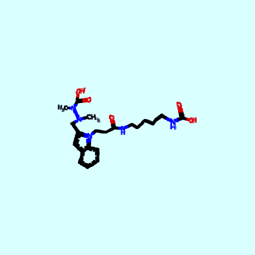 CN(Cc1cc2ccccc2n1CCC(=O)NCCCCCNC(=O)O)N(C)C(=O)O